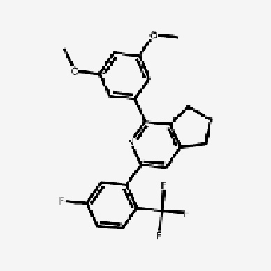 COc1cc(OC)cc(-c2nc(-c3cc(F)ccc3C(F)(F)F)cc3c2CCC3)c1